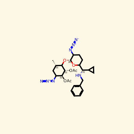 CC(=O)O[C@H]1C(N=[N+]=[N-])C[C@H](C)C(O[C@H]2OC([C@@H](NCc3ccccc3)C3CC3)CCC2N=[N+]=[N-])[C@@H]1OC(C)=O